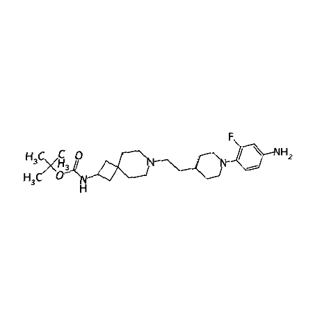 CC(C)(C)OC(=O)NC1CC2(CCN(CCC3CCN(c4ccc(N)cc4F)CC3)CC2)C1